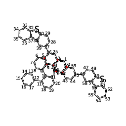 c1ccc(-c2ccccc2-c2c(-c3ccccc3)cccc2N(c2ccc(-c3ccc4sc5ccccc5c4c3)cc2)c2ccc(-c3ccc4sc5ccccc5c4c3)cc2)cc1